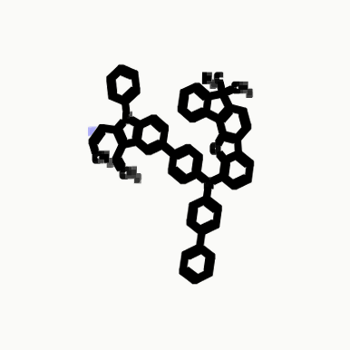 C=Cc1c(/C=C\C)n(-c2ccccc2)c2ccc(-c3ccc(N(c4ccc(-c5ccccc5)cc4)c4cccc5c4oc4c6c(ccc45)C(C)(C)c4ccccc4-6)cc3)cc12